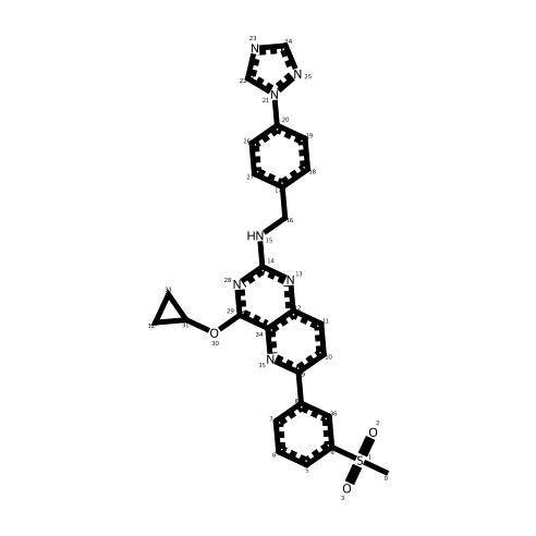 CS(=O)(=O)c1cccc(-c2ccc3nc(NCc4ccc(-n5cncn5)cc4)nc(OC4CC4)c3n2)c1